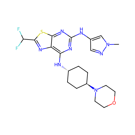 Cn1cc(Nc2nc(N[C@H]3CC[C@H](N4CCOCC4)CC3)c3nc(C(F)F)sc3n2)cn1